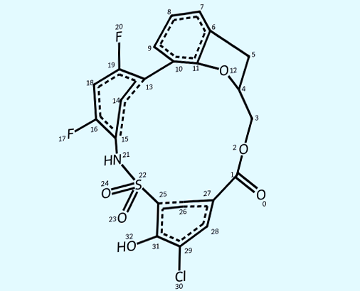 O=C1OCC2Cc3cccc(c3O2)-c2cc(c(F)cc2F)NS(=O)(=O)c2cc1cc(Cl)c2O